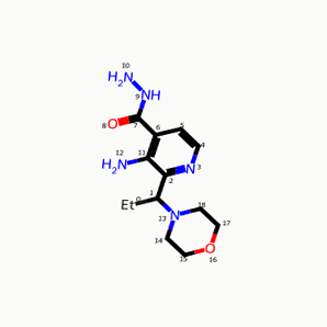 CCC(c1nccc(C(=O)NN)c1N)N1CCOCC1